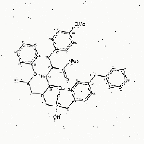 CCC(CC(CP(=O)(O)Cc1ccc(Cc2ccccc2)cc1)C(=O)NC(Cc1ccc(OC)cc1)C(=O)NC)Oc1ccccc1